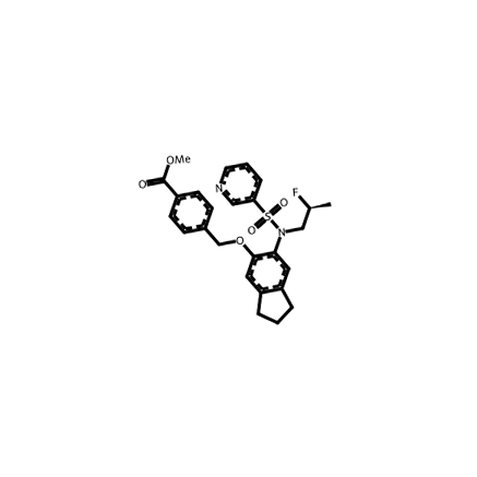 COC(=O)c1ccc(COc2cc3c(cc2N(C[C@H](C)F)S(=O)(=O)c2cccnc2)CCC3)cc1